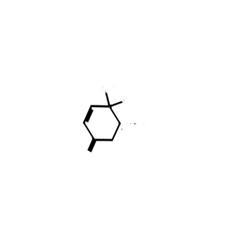 C[C@@H]1CC(=O)C=CC1(C)C